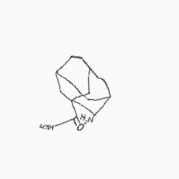 CC(=O)NC(=O)C12CC3CC(CC(C3)C1N)C2